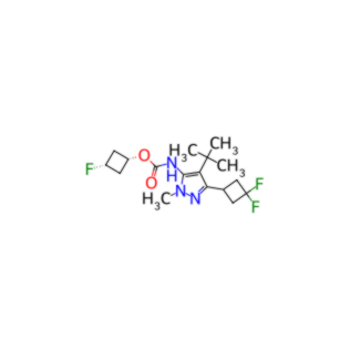 Cn1nc(C2CC(F)(F)C2)c(C(C)(C)C)c1NC(=O)O[C@H]1C[C@@H](F)C1